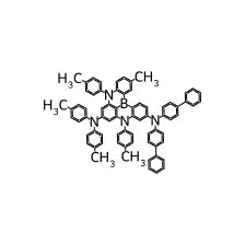 Cc1ccc(N(c2ccc(C)cc2)c2cc3c4c(c2)N(c2ccc(C)cc2)c2cc(N(c5ccc(-c6ccccc6)cc5)c5ccc(-c6ccccc6)cc5)ccc2B4c2cc(C)ccc2N3c2ccc(C)cc2)cc1